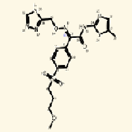 COCCCS(=O)(=O)c1ccc(/C(=N\OCc2nnc[nH]2)C(=O)Nc2ncc(C)s2)cc1